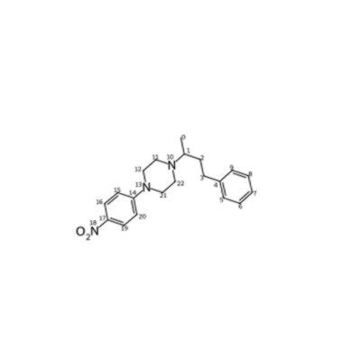 CC(CCc1ccccc1)N1CCN(c2ccc([N+](=O)[O-])cc2)CC1